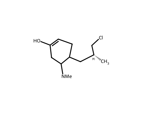 CNC1CC(O)=CCC1C[C@@H](C)CCl